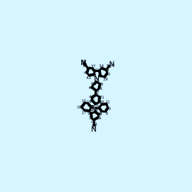 N#Cc1ccc([Si](c2ccccc2)(c2ccccc2)c2ccc(-c3ccc(-n4c5ccc(C#N)cc5c5cc(C#N)ccc54)cc3)cc2)cc1